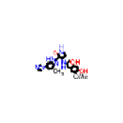 COc1cc(CC(CO)Nc2cc[nH]c(=O)c2-c2nc3c(C)cc(-n4ccnc4)cc3[nH]2)ccc1O